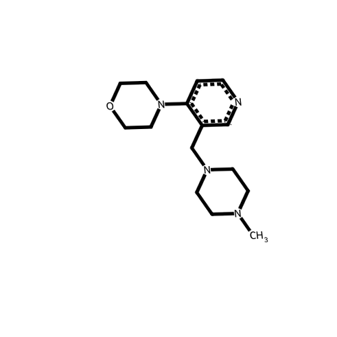 CN1CCN(Cc2[c]nccc2N2CCOCC2)CC1